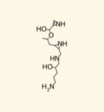 CC(CC1NC1CNCC(O)CCCN)OC(O)C1=CN1